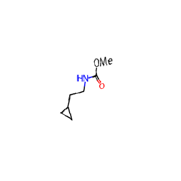 COC(=O)NCCC1CC1